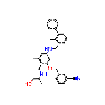 Cc1cc(NCc2cccc(-c3ccccc3)c2C)cc(OCc2cccc(C#N)c2)c1CNC(C)CO